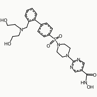 O=C(NO)c1cnc(N2CCN(S(=O)(=O)c3ccc(-c4ccccc4CN(CCO)CCO)cc3)CC2)nc1